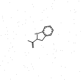 C=C(C)C1Cc2ccccc2N1